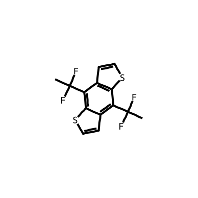 CC(F)(F)c1c2ccsc2c(C(C)(F)F)c2ccsc12